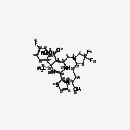 COC(=O)C1=C(CN2CC(F)(F)CC2CCCO)NC(c2nccs2)=N[C@@]1(C)c1ccc(F)cc1